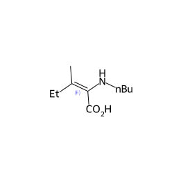 CCCCN/C(C(=O)O)=C(\C)CC